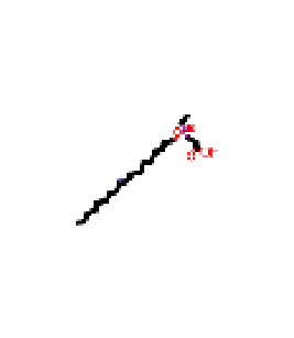 CCCCCCCC/C=C/CCCCCCCCOP(=O)(CC)CCC(=O)O